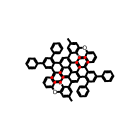 Cc1cc2c3c(c1)-c1cc(-c4c(-c5ccccc5)cc(-c5ccccc5)cc4-c4ccccc4)c4cc5c6c(cc(-c7c(-c8ccccc8)cc(-c8ccccc8)cc7-c7ccccc7)c7cc(c1c4c76)B3c1ccccc1O2)-c1cc(C)cc2c1B5c1ccccc1O2